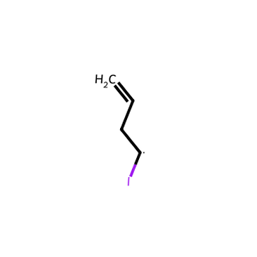 C=CC[CH]I